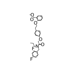 CCCN(Cc1ccc(F)cc1F)C(=O)COc1ccc(CCOc2ccccc2C(=O)OC)cc1